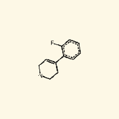 Fc1ccccc1C1=CC[N]CC1